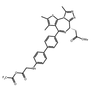 COC(=O)C[C@@H]1N=C(c2ccc(-c3ccc(NCC(=O)OC(=O)C(F)(F)F)cc3)cc2)c2c(sc(C)c2C)-n2c(C)nnc21